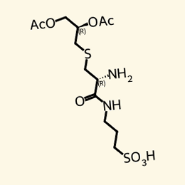 CC(=O)OC[C@H](CSC[C@H](N)C(=O)NCCCS(=O)(=O)O)OC(C)=O